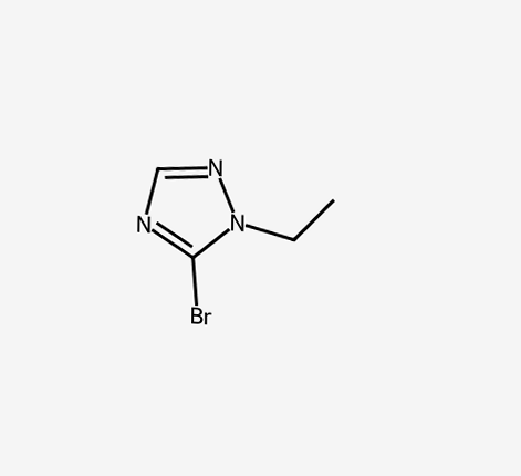 CCn1ncnc1Br